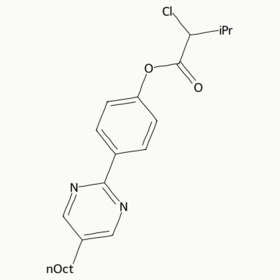 CCCCCCCCc1cnc(-c2ccc(OC(=O)C(Cl)C(C)C)cc2)nc1